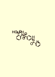 O=C(Nc1ccc(S(=O)(=O)Nc2ccccc2[N+](=O)O)cc1)c1ccccn1